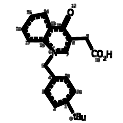 CC(C)(C)c1ccc(Cn2cc(CC(=O)O)c(=O)c3ccccc32)cc1